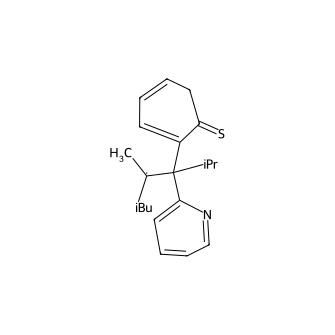 CCC(C)[C](C)C(C1=CC=CCC1=S)(c1ccccn1)C(C)C